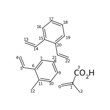 C=C(C)C(=O)O.C=Cc1ccccc1C.C=Cc1ccccc1C=C